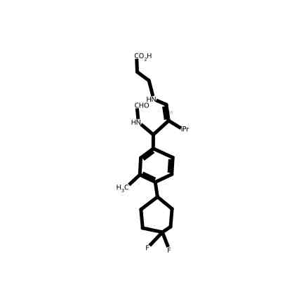 Cc1cc(C(NC=O)/C(=C\NCCC(=O)O)C(C)C)ccc1C1CCC(F)(F)CC1